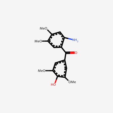 COc1cc(N)c(C(=O)c2cc(OC)c(O)c(OC)c2)cc1OC